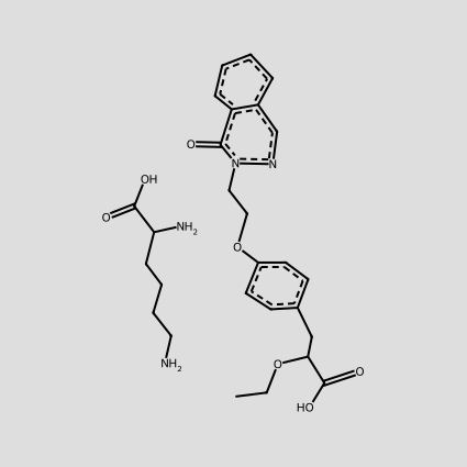 CCOC(Cc1ccc(OCCn2ncc3ccccc3c2=O)cc1)C(=O)O.NCCCCC(N)C(=O)O